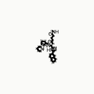 CNC(=O)CCCCC[C@H](NC(=O)C1CCCN(c2ccccn2)C1)c1ncc(-c2ccc3ccccc3c2)[nH]1